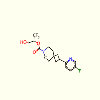 O=C(O[C@H](CO)C(F)(F)F)N1CCC2(CC1)CC(c1ccc(F)cn1)C2